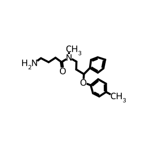 Cc1ccc(OC(CCN(C)C(=O)CCCN)c2ccccc2)cc1